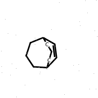 C1=CC2CCC[C]1CCC2